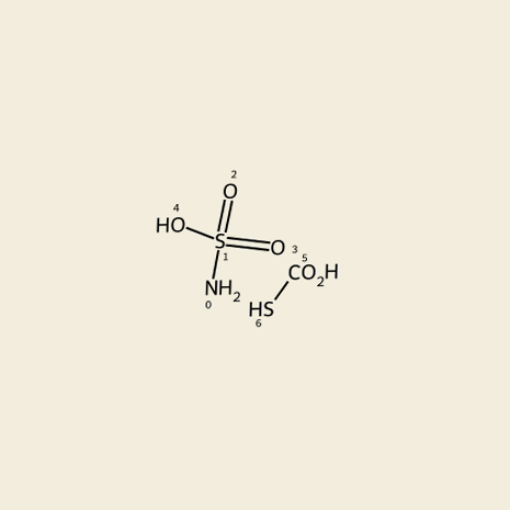 NS(=O)(=O)O.O=C(O)S